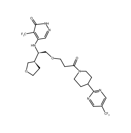 O=C(CCOC[C@H](Nc1cn[nH]c(=O)c1C(F)(F)F)[C@H]1CCOC1)N1CCC(c2ncc(C(F)(F)F)cn2)CC1